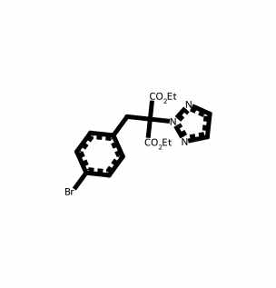 CCOC(=O)C(Cc1ccc(Br)cc1)(C(=O)OCC)n1nccn1